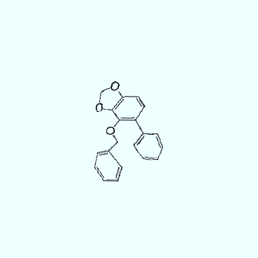 c1ccc(COc2c(-c3ccccc3)ccc3c2OCO3)cc1